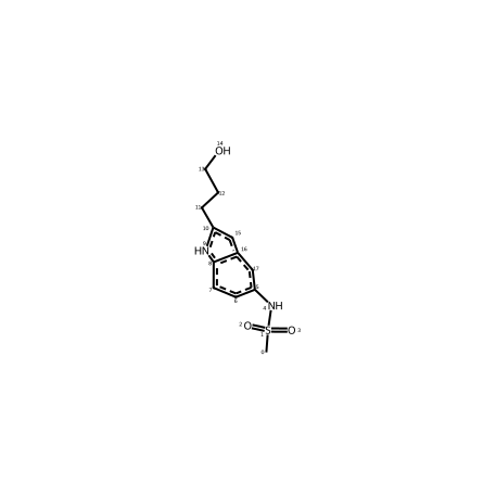 CS(=O)(=O)Nc1ccc2[nH]c(CCCO)cc2c1